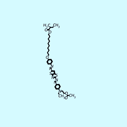 CCC(C)C(=O)OCCCCCCCCCCOc1ccc(N=Nc2cc3sc(N=Nc4ccc(N(CC)CCOC(C)=O)cc4)nc3s2)cc1